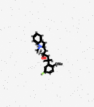 COc1ccc(F)cc1C(C)(C)CC(O)(Cc1cc2ccccc2n1C)C(F)(F)F